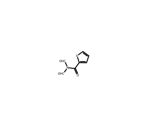 O=CN(C=O)C(=O)c1ccco1